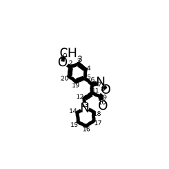 COc1ccc(C2=NOC(=O)C2=CN2CCCCC2)cc1